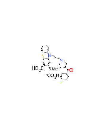 CSc1ccc2c(c1)N(CCCN1CCC(C(=O)c3ccc(F)cc3)CC1)c1ccccc1S2.O=C(O)C=CC(=O)O